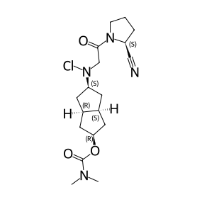 CN(C)C(=O)O[C@@H]1C[C@@H]2C[C@H](N(Cl)CC(=O)N3CCC[C@H]3C#N)C[C@@H]2C1